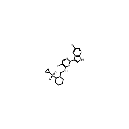 O=S(=O)(C1CC1)N1CCCCC1CNc1nc(-c2c[nH]c3ncc(Cl)cc23)ncc1F